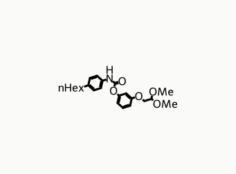 CCCCCCc1ccc(NC(=O)Oc2cccc(OCC(OC)OC)c2)cc1